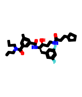 CCCN(CCC)C(=O)c1cc(C)cc(C(=O)N[C@@H](Cc2cc(F)cc(F)c2)[C@H](O)CCNC(=O)CCC2CCCC2)c1